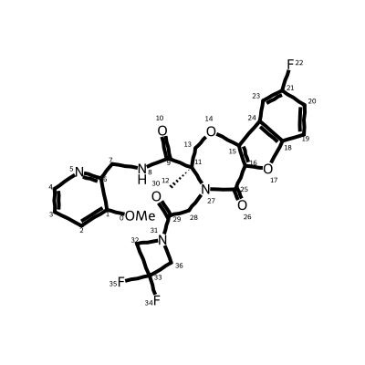 COc1cccnc1CNC(=O)[C@@]1(C)COc2c(oc3ccc(F)cc23)C(=O)N1CC(=O)N1CC(F)(F)C1